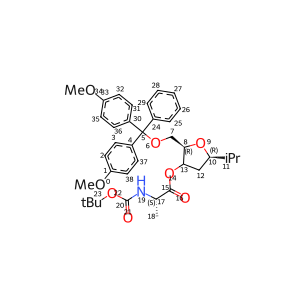 COc1ccc(C(OC[C@H]2O[C@@H](C(C)C)CC2OC(=O)[C@H](C)NC(=O)OC(C)(C)C)(c2ccccc2)c2ccc(OC)cc2)cc1